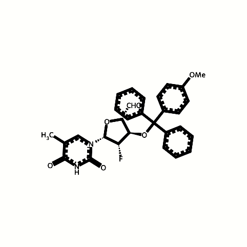 COc1ccc(C(O[C@H]2[C@H](F)[C@H](n3cc(C)c(=O)[nH]c3=O)O[C@@H]2C=O)(c2ccccc2)c2ccccc2)cc1